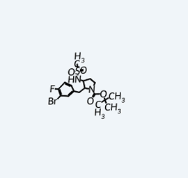 CC(C)(C)OC(=O)N1CCC(NS(C)(=O)=O)C1Cc1ccc(F)c(Br)c1